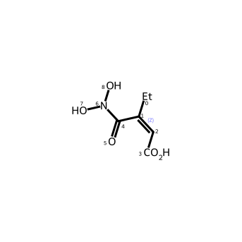 CC/C(=C/C(=O)O)C(=O)N(O)O